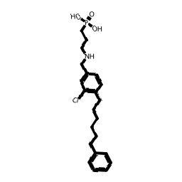 O=P(O)(O)CCCNCc1ccc(CCCCCCc2ccccc2)c(Cl)c1